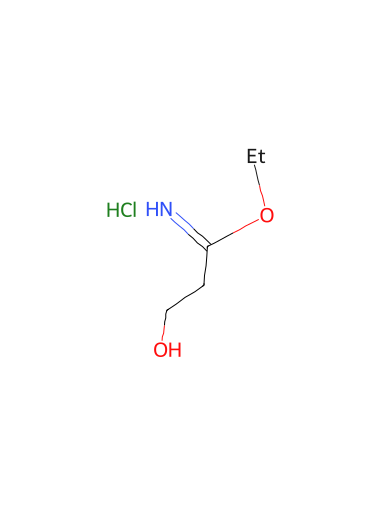 CCOC(=N)CCO.Cl